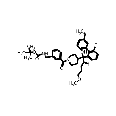 CCc1cccc(-c2c(F)cccc2C(O)(C(I)CCCOC)C2CCN(C(=O)c3cccc(CNC(=O)OC(C)(C)C)c3)CC2)c1